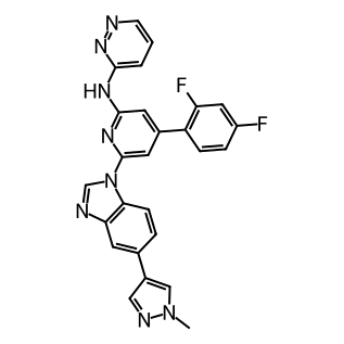 Cn1cc(-c2ccc3c(c2)ncn3-c2cc(-c3ccc(F)cc3F)cc(Nc3cccnn3)n2)cn1